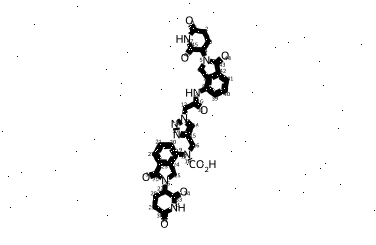 O=C1CCC(N2Cc3c(NC(=O)Cn4cc(CN(C(=O)O)c5cccc6c5CN(C5CCC(=O)NC5=O)C6=O)nn4)cccc3C2=O)C(=O)N1